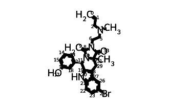 C=CCN(C)CCN1C(=C)N2[C@H](c3cccc(O)c3)c3[nH]c4ccc(Br)cc4c3C[C@@]2(C)C1=O